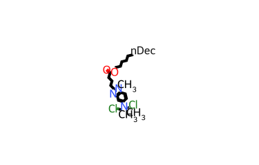 CCCCCCCCCCCCCCCCOC(=O)CCCc1nc2cc(N(C(C)Cl)C(C)Cl)ccc2n1C